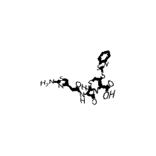 Nc1nc(CC(=O)N[C@@H]2C(=O)N3C(C(=O)O)=C(Sc4nc5ccccc5s4)CS[C@H]23)cs1